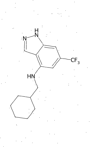 FC(F)(F)c1cc(NCC2CCCCC2)c2cn[nH]c2c1